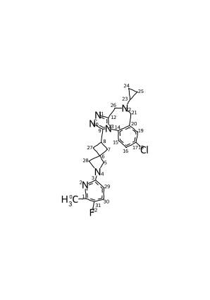 Cc1nc(N2CC3(CC(c4nnc5n4-c4ccc(Cl)cc4CN(C4CC4)C5)C3)C2)ccc1F